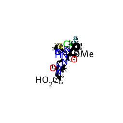 COC(=O)C1=C(CN2CCN3C(=O)N(CC(C)(C)C(=O)O)CC3(C)C2)NC(c2nccs2)=NC1c1cccc(F)c1Cl